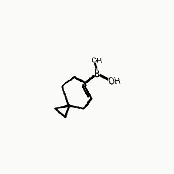 OB(O)C1=CCC2(CC1)CC2